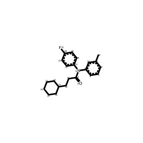 Cc1cccc(N(C(=O)CCC2CCCCC2)c2ccc(F)cc2)c1